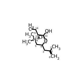 C=C(C)CC(C[N+](C)(C)C)OC(O)CCC